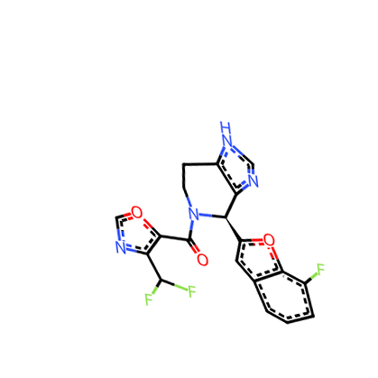 O=C(c1ocnc1C(F)F)N1CCc2[nH]cnc2[C@H]1c1cc2cccc(F)c2o1